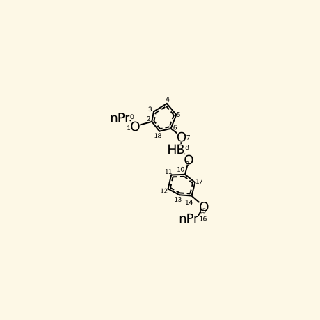 CCCOc1cccc(OBOc2cccc(OCCC)c2)c1